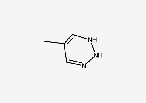 CC1=CNNN=C1